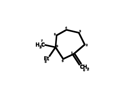 C=C1CCCCC(C)(CC)C1